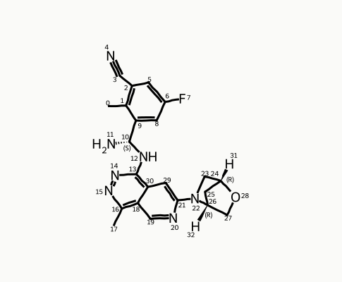 Cc1c(C#N)cc(F)cc1[C@@H](N)Nc1nnc(C)c2cnc(N3C[C@H]4C[C@@H]3CO4)cc12